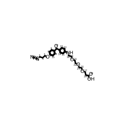 [N-]=[N+]=NCCCOc1ccc(C(=O)c2ccc(NCCOCCOCCOCCC(=O)O)cc2)cc1